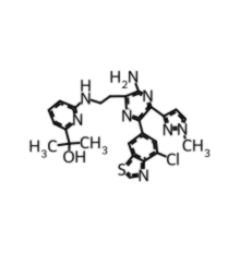 Cn1ccc(-c2nc(N)c(CCNc3cccc(C(C)(C)O)n3)nc2-c2cc(Cl)c3ncsc3c2)n1